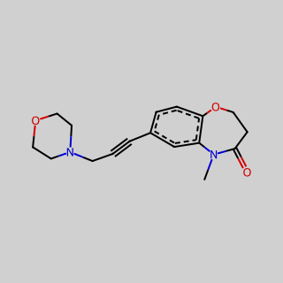 CN1C(=O)CCOc2ccc(C#CCN3CCOCC3)cc21